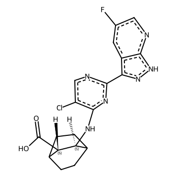 O=C(O)[C@H]1C2CCC(CC2)[C@@H]1Nc1nc(-c2n[nH]c3ncc(F)cc23)ncc1Cl